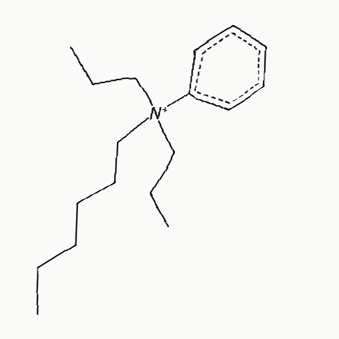 CCCCCC[N+](CCC)(CCC)c1ccccc1